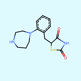 O=C1NC(=O)C(Cc2ccccc2N2CCCNCC2)S1